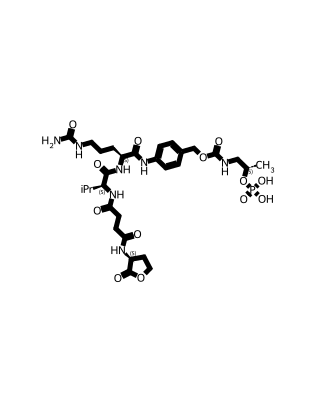 CC(C)[C@H](NC(=O)CCC(=O)N[C@H]1CCOC1=O)C(=O)N[C@@H](CCCNC(N)=O)C(=O)Nc1ccc(COC(=O)NC[C@H](C)OP(=O)(O)O)cc1